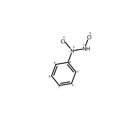 ClNN(Cl)c1ccccc1